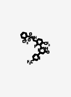 O=c1cc(-c2ccc(C(F)(F)F)cn2)nc(-c2c(C(F)(F)F)ccc(CNS(=O)(=O)c3ccccc3C(F)(F)F)c2F)[nH]1